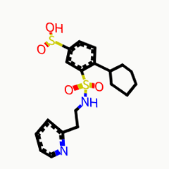 O=S(O)c1ccc(C2CCCCC2)c(S(=O)(=O)NCCc2ccccn2)c1